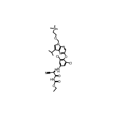 CCOC(=O)NC(=O)/C(C#N)=N\Nc1cc(Cl)c(Oc2cnc3c(n2)c(C(C)C)cn3COCC[Si](C)(C)C)c(Cl)c1